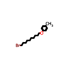 Cc1ccc(OCCCCCCCCCCBr)cc1